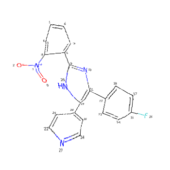 O=[N+]([O-])c1ccccc1-c1nc(-c2ccc(F)cc2)c(-c2ccncc2)[nH]1